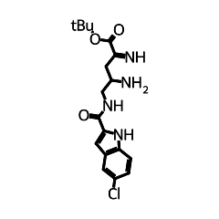 CC(C)(C)OC(=O)C(=N)CC(N)CNC(=O)c1cc2cc(Cl)ccc2[nH]1